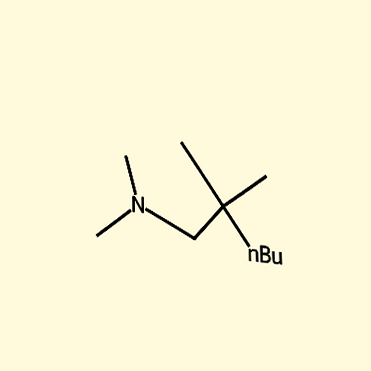 CCCCC(C)(C)CN(C)C